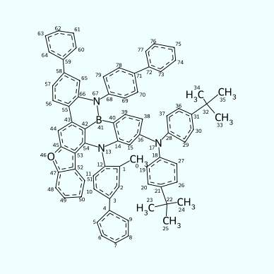 Cc1cc(-c2ccccc2)ccc1N1c2cc(N(c3ccc(C(C)(C)C)cc3)c3ccc(C(C)(C)C)cc3)ccc2B2c3c(cc4oc5ccccc5c4c31)-c1ccc(-c3ccccc3)cc1N2c1ccc(-c2ccccc2)cc1